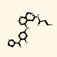 CC(=O)C=CC(=O)Nc1cc2c(Nc3ccc(C(=O)c4ccsc4)c(Cl)c3)ncnc2cn1